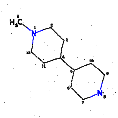 CN1CCC(C2CC[N]CC2)CC1